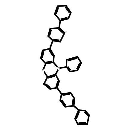 c1ccc(-c2ccc(-c3ccc4c(c3)N(c3ccccc3)c3cc(-c5ccc(-c6ccccc6)cc5)ccc3O4)cc2)cc1